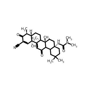 C[C@@H]1C(=O)C(C#N)=C[C@]2(C)C3=CC(=O)C4C5CC(C)(C)CC[C@]5(NC(=O)N(C)C)CC[C@@]4(C)[C@]3(C)CC[C@@H]12